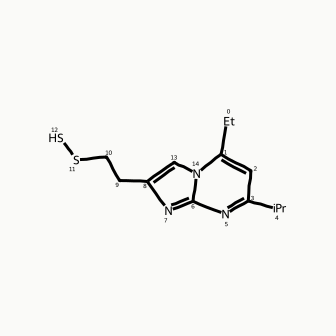 CCc1cc(C(C)C)nc2nc(CCSS)cn12